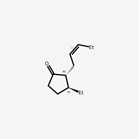 CC/C=C\C[C@H]1C(=O)CC[C@@H]1CC